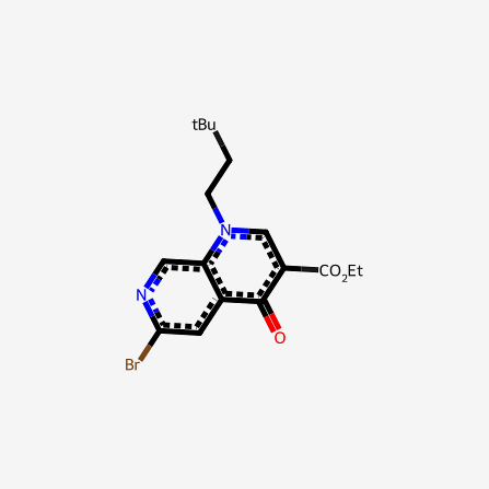 CCOC(=O)c1cn(CCC(C)(C)C)c2cnc(Br)cc2c1=O